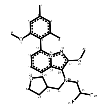 COc1cc(C)cc(C)c1-c1cccc2c(N(CC(F)F)CC3CCOC3)c(SC)nn12